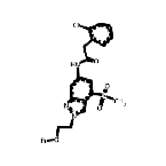 CC(C)OCCn1cc2c(S(C)(=O)=O)cc(NC(=O)Cc3ccccc3Cl)cc2n1